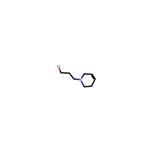 [O]CCCN1CC=CCC1